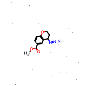 COC(=O)c1ccc2c(c1)C(N=[N+]=[N-])CCO2